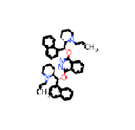 C=CCN1CCCC[C@H]1[C@H](Oc1nnc(O[C@H](c2cccc3ccccc23)[C@@H]2CCCCN2CC=C)c2ccccc12)c1cccc2ccccc12